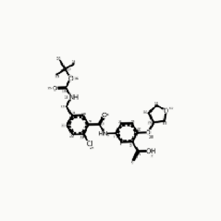 C=C(O)c1cc(NC(=O)c2cc(CNC(=O)OC(C)(C)C)ccc2Cl)ccc1OC1CCOC1